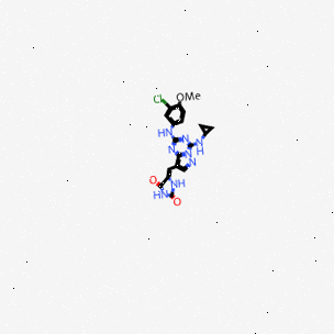 COc1ccc(Nc2nc(NC3CC3)n3ncc(/C=C4\NC(=O)NC4=O)c3n2)cc1Cl